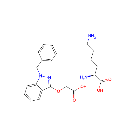 NCCCC[C@H](N)C(=O)O.O=C(O)COc1nn(Cc2ccccc2)c2ccccc12